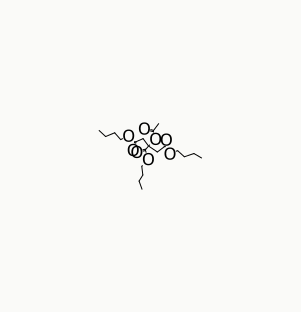 CCCCOC(=O)CC(CC(=O)OCCCC)(OC(C)=O)C(=O)OCCCC